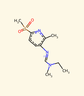 CCN(C)/C=N/c1ccc(S(C)(=O)=O)nc1C